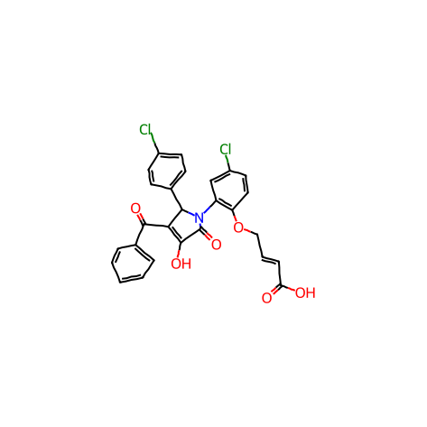 O=C(O)/C=C/COc1ccc(Cl)cc1N1C(=O)C(O)=C(C(=O)c2ccccc2)C1c1ccc(Cl)cc1